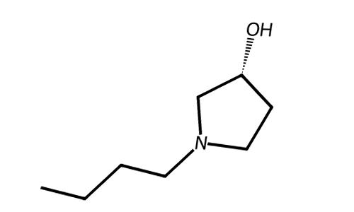 CCCCN1CC[C@@H](O)C1